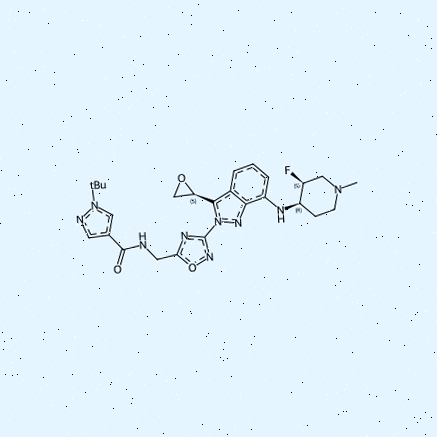 CN1CC[C@@H](Nc2cccc3c([C@H]4CO4)n(-c4noc(CNC(=O)c5cnn(C(C)(C)C)c5)n4)nc23)[C@@H](F)C1